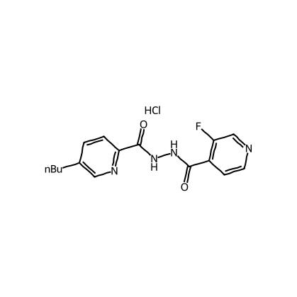 CCCCc1ccc(C(=O)NNC(=O)c2ccncc2F)nc1.Cl